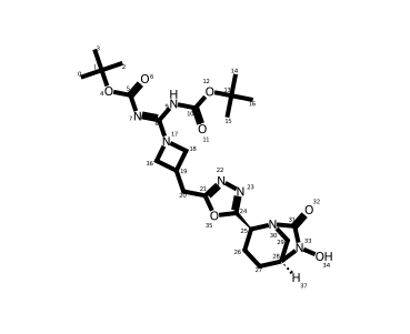 CC(C)(C)OC(=O)/N=C(\NC(=O)OC(C)(C)C)N1CC(Cc2nnc([C@@H]3CC[C@H]4CN3C(=O)N4O)o2)C1